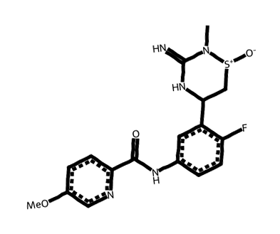 COc1ccc(C(=O)Nc2ccc(F)c(C3C[S+]([O-])N(C)C(=N)N3)c2)nc1